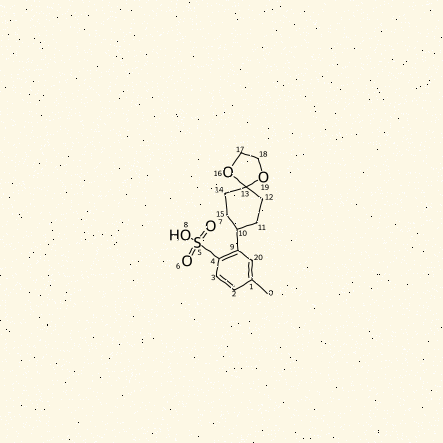 Cc1ccc(S(=O)(=O)O)c(C2CCC3(CC2)OCCO3)c1